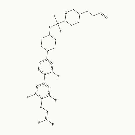 C=CCCC1CCC(C(F)(F)OC2CCC(c3ccc(-c4cc(F)c(OC=C(F)F)c(F)c4)c(F)c3)CC2)OC1